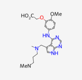 CNCCCN(C)Cc1c[nH]c2ncnc(Nc3ccc(OC)c(OCC(=O)O)c3)c12